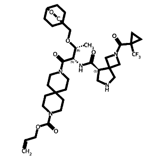 C=CCOC(=O)N1CCC2(CC1)CCN(C(=O)[C@@H](NC(=O)[C@@H]1CNCC13CN(C(=O)C1(C(F)(F)F)CC1)C3)[C@@H](C)OCC13CCC(CC1)OC3)CC2